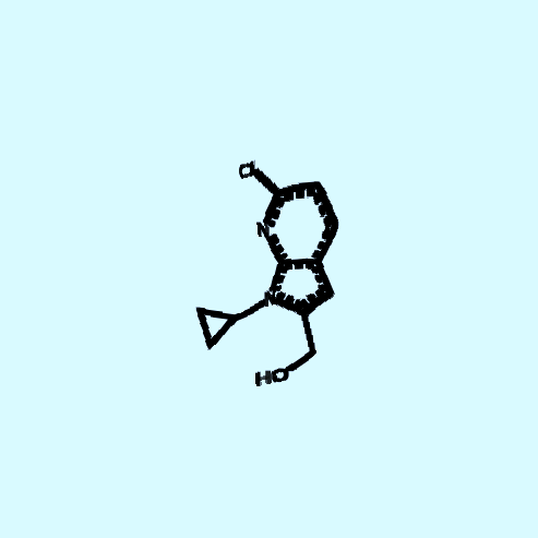 OCc1cc2ccc(Cl)nc2n1C1CC1